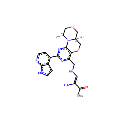 COC(=O)/C(N)=C/NCc1nc(-c2ccnc3[nH]ccc23)nc2c1OC[C@@H]1COC[C@@H](C)N21